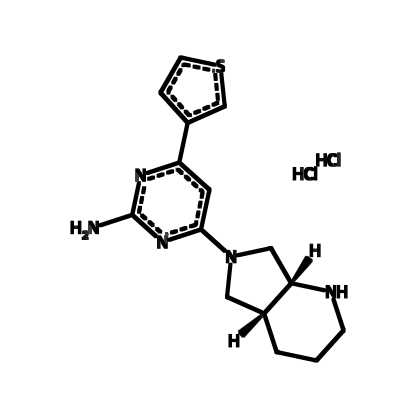 Cl.Cl.Nc1nc(-c2ccsc2)cc(N2C[C@H]3CCCN[C@H]3C2)n1